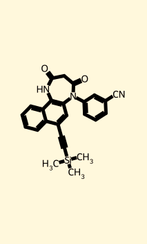 C[Si](C)(C)C#Cc1cc2c(c3ccccc13)NC(=O)CC(=O)N2c1cccc(C#N)c1